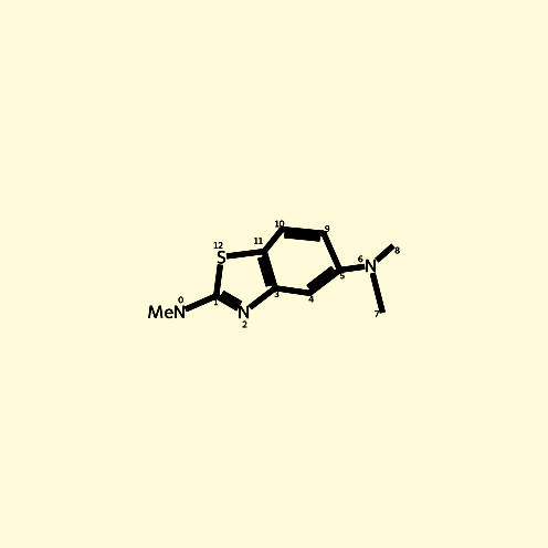 CNc1nc2cc(N(C)C)ccc2s1